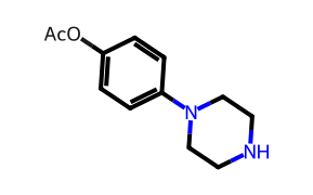 CC(=O)Oc1ccc(N2CCNCC2)cc1